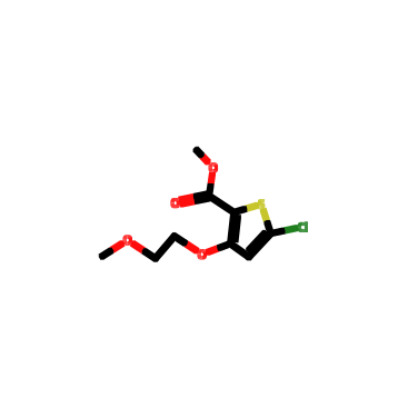 COCCOc1cc(Cl)sc1C(=O)OC